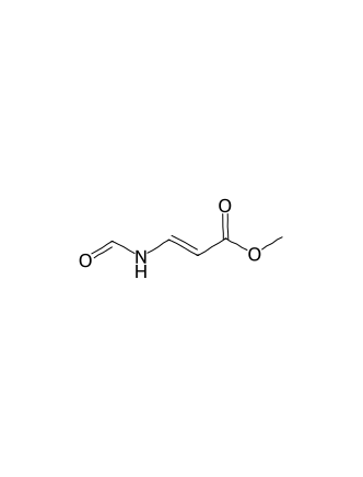 COC(=O)/C=C/NC=O